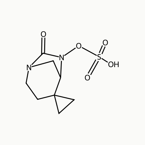 O=C1N2CCC3(CC3)C(C2)N1OS(=O)(=O)O